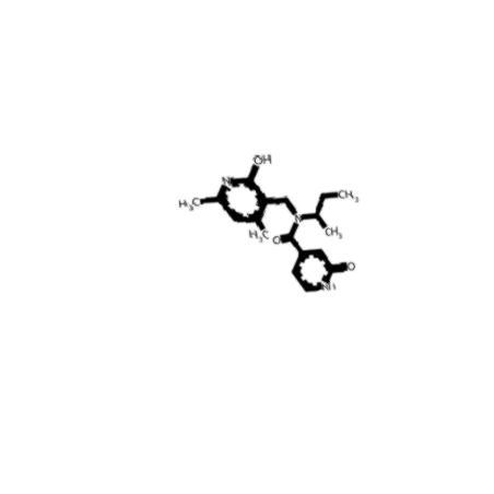 CCC(C)N(Cc1c(C)cc(C)nc1O)C(=O)c1cc[nH]c(=O)c1